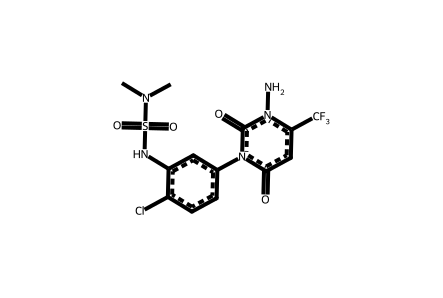 CN(C)S(=O)(=O)Nc1cc(-n2c(=O)cc(C(F)(F)F)n(N)c2=O)ccc1Cl